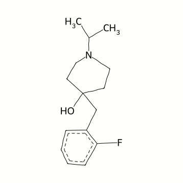 CC(C)N1CCC(O)(Cc2ccccc2F)CC1